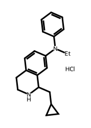 CCN(c1ccccc1)c1ccc2c(c1)C(CC1CC1)NCC2.Cl